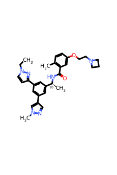 CCn1ccc(-c2cc(-c3cnn(C)c3)cc([C@@H](C)NC(=O)c3cc(OCCN4CCC4)ccc3C)c2)n1